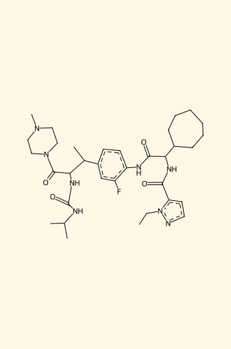 CCn1nccc1C(=O)NC(C(=O)Nc1ccc(C(C)C(NC(=O)NC(C)C)C(=O)N2CCN(C)CC2)cc1F)C1CCCCCC1